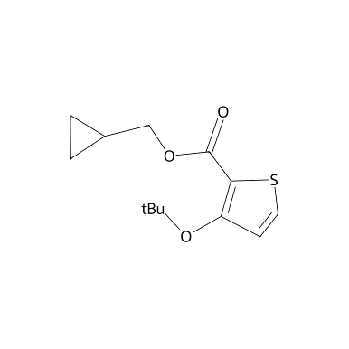 CC(C)(C)Oc1ccsc1C(=O)OCC1CC1